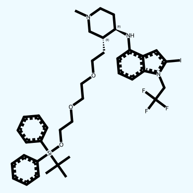 CN1CC[C@@H](Nc2cccc3c2cc(I)n3CC(F)(F)F)[C@H](CCOCCOCCO[Si](c2ccccc2)(c2ccccc2)C(C)(C)C)C1